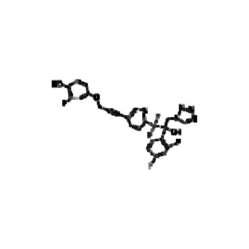 N#Cc1ccc(OCC#Cc2ccc(C(F)(F)C(O)(Cn3cnnn3)c3ccc(F)cc3F)nc2)cc1F